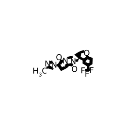 Cc1cn(-c2ccc3n(c2=O)CCN(C[C@@]24CC2COc2ccc(C(F)(F)F)cc24)C3=O)cn1